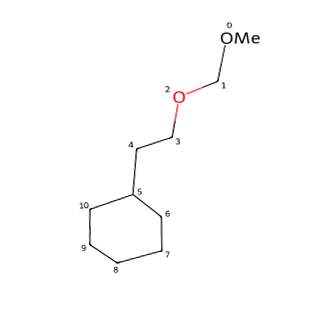 COCOCCC1CCCCC1